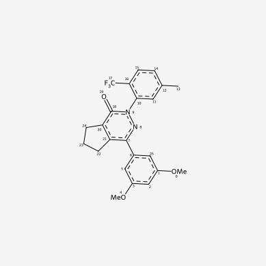 COc1cc(OC)cc(-c2nn(-c3cc(C)ccc3C(F)(F)F)c(=O)c3c2CCC3)c1